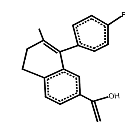 C=C(O)c1ccc2c(c1)C(c1ccc(F)cc1)=C(C)CC2